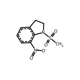 CS(=O)(=O)N1CCc2cccc([N+](=O)[O-])c21